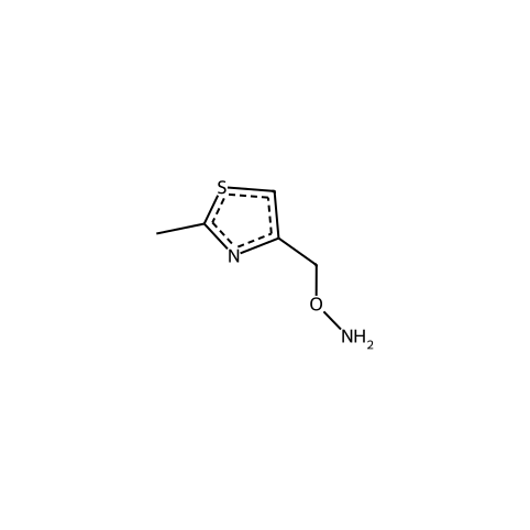 Cc1nc(CON)cs1